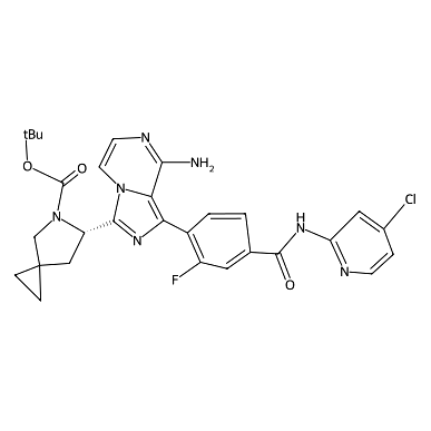 CC(C)(C)OC(=O)N1CC2(CC2)C[C@H]1c1nc(-c2ccc(C(=O)Nc3cc(Cl)ccn3)cc2F)c2c(N)nccn12